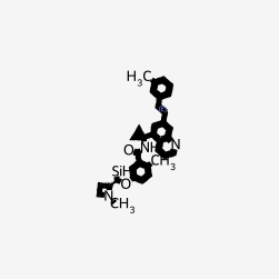 Cc1cccc(/C=C/c2cc(C3(NC(=O)c4cc(OC([SiH3])[C@@H]5CCN5C)ccc4C)CC3)c3cccnc3c2)c1